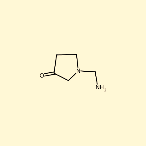 NCN1CCC(=O)C1